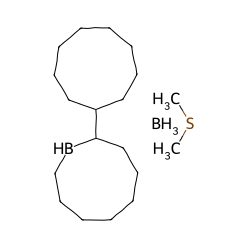 B.B1CCCCCCCC1C1CCCCCCCC1.CSC